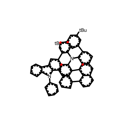 CC(C)(C)c1cc(-c2ccccc2N(c2ccccc2-c2ccc3c(c2)c2ccccc2n3-c2ccccc2)c2ccccc2-c2cccc3cccc(-c4ccccc4)c23)cc(C(C)(C)C)c1